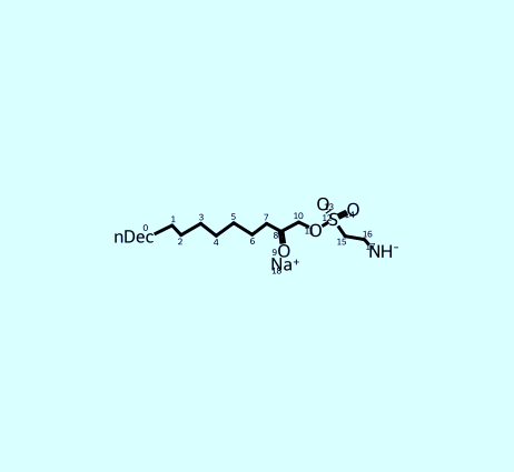 CCCCCCCCCCCCCCCCCC(=O)COS(=O)(=O)CC[NH-].[Na+]